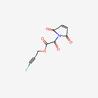 O=C(OCC#CF)C(=O)N1C(=O)C=CC1=O